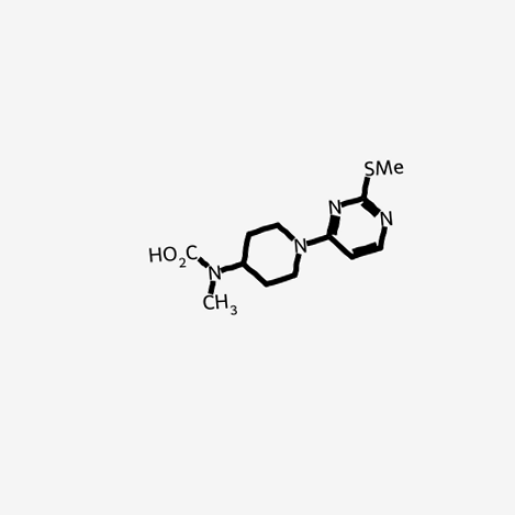 CSc1nccc(N2CCC(N(C)C(=O)O)CC2)n1